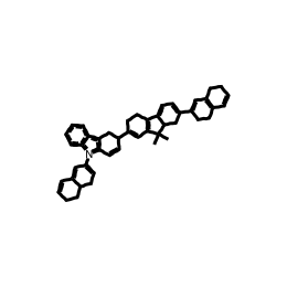 CC1(C)C2=C(CCC(C3C=Cc4c(c5ccccc5n4C4=CCC5CCC=CC5=C4)C3)=C2)C2=CC=C(C3=CC4=C(C=CCC4)CC3)CC21